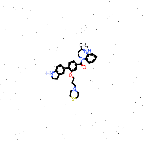 CC1CCN(C(=O)c2ccc(-c3ccc4c(c3)CCN4)c(OCCCN3CCSCC3)c2)c2ccccc2N1